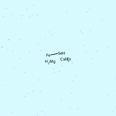 [CaH2].[Fe][SeH].[MgH2].[Zn]